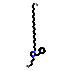 CCCCCCCCCCCCCCCCCCCN1C=CN(CCCC)C1Cc1ccccc1